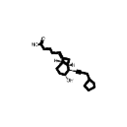 O=C(O)CCC/C=C1/C[C@@H]2[C@@H](C#CCC3CCCC3)[C@H](O)CC[C@H]12